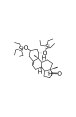 CC[Si](CC)(CC)O[C@@H]1CC2=CC[C@@H]3[C@H](CC[C@]4(C)C(=O)CC[C@@H]34)[C@@]2(C)[C@@H](O[Si](CC)(CC)CC)C1